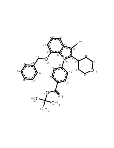 CC(C)(C)OC(=O)c1ccc(-n2c(C3CCOCC3)c(I)c3cccc(OCc4ccccc4)c32)cc1